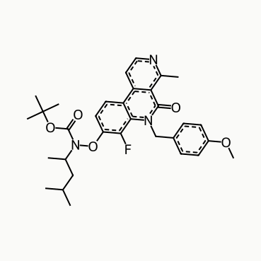 COc1ccc(Cn2c(=O)c3c(C)nccc3c3ccc(ON(C(=O)OC(C)(C)C)C(C)CC(C)C)c(F)c32)cc1